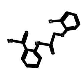 O=C(COc1ccccc1Cl)Nc1ccccc1C(=O)O